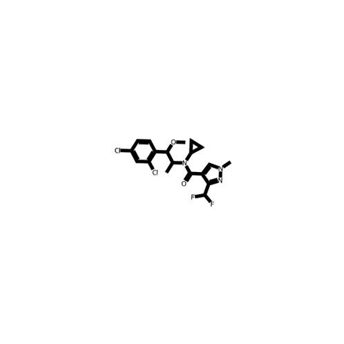 COC(c1ccc(Cl)cc1Cl)C(C)N(C(=O)c1cn(C)nc1C(F)F)C1CC1